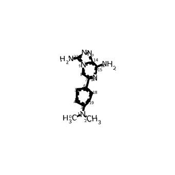 CN(C)c1ccc(-c2cn3c(N)nnc3c(N)n2)cc1